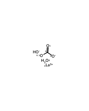 O.O=C([O-])[O-].[La+3].[OH-]